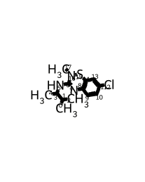 CC(C)C(C)NC1=Nc2ccc(Cl)cc2SN1C